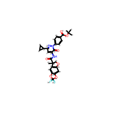 CC(C)(C)OC(=O)c1ccc(-n2nc(C3CC3)cc(NC(=O)C3(C)COc4cc5c(cc43)OC(F)(F)O5)c2=O)cc1